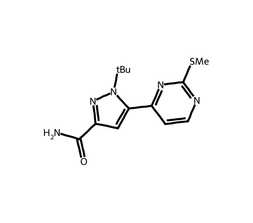 CSc1nccc(-c2cc(C(N)=O)nn2C(C)(C)C)n1